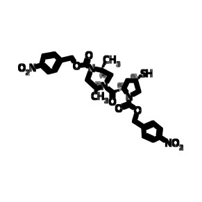 C[C@@H]1CN(C(=O)[C@@H]2C[C@H](S)CN2C(=O)OCc2ccc([N+](=O)[O-])cc2)[C@@H](C)CN1C(=O)OCc1ccc([N+](=O)[O-])cc1